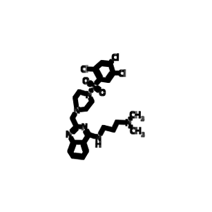 CN(C)CCCNc1nc(CN2CCN(S(=O)(=O)c3cc(Cl)c(Cl)cc3Cl)CC2)nc2ccccc12